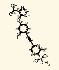 CS(=O)(=O)c1ncc(C#Cc2ccc(Oc3[nH]nnc3C(=O)O)cc2F)nc1F